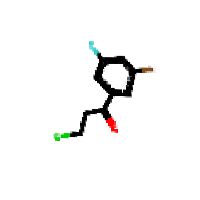 O=C(CCCl)c1cc(F)cc(Br)c1